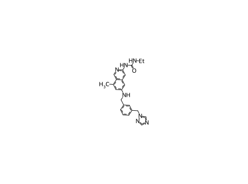 CCNC(=O)Nc1cc2cc(NCc3cccc(Cn4cncn4)c3)cc(C)c2cn1